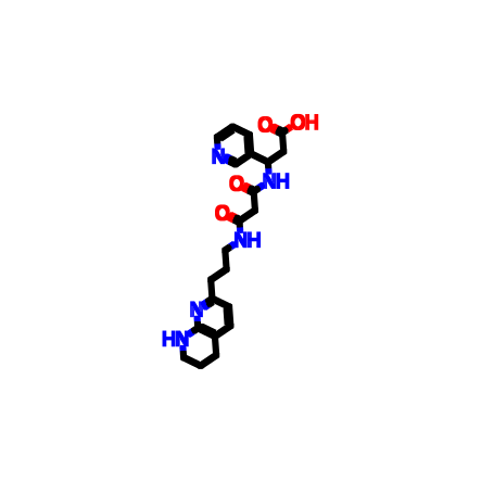 O=C(O)CC(NC(=O)CC(=O)NCCCc1ccc2c(n1)NCCC2)c1cccnc1